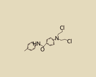 Cc1ccc(NC(=O)c2ccc(N(CCCl)CCCl)cc2)cc1